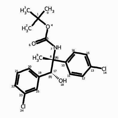 CC(C)(C)OC(=O)N[C@](C)(c1ccc(Cl)cc1)[C@H](O)c1cccc(Cl)c1